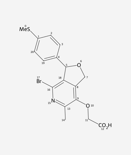 CSc1ccc(C2OCc3c(OCC(=O)O)c(C)nc(Br)c32)cc1